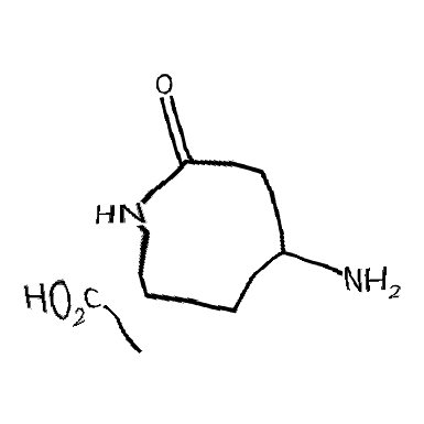 CC(=O)O.NC1CCNC(=O)C1